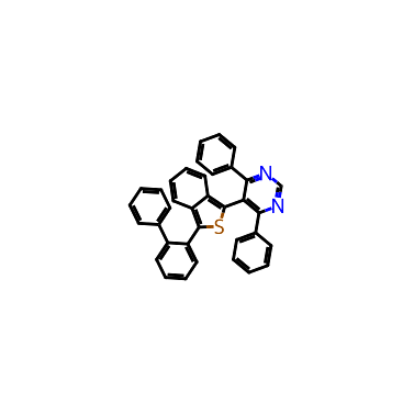 c1ccc(-c2ccccc2-c2sc(-c3c(-c4ccccc4)ncnc3-c3ccccc3)c3ccccc23)cc1